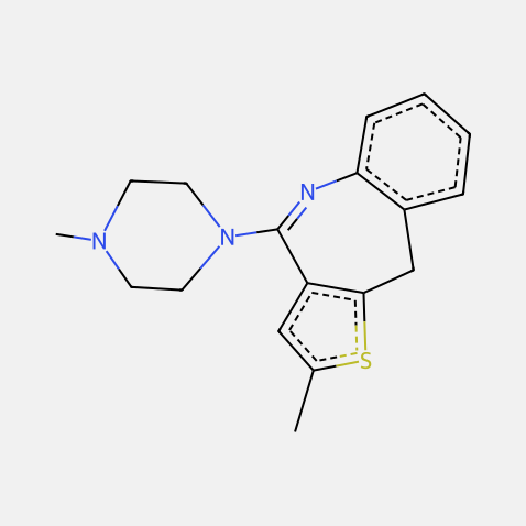 Cc1cc2c(s1)Cc1ccccc1N=C2N1CCN(C)CC1